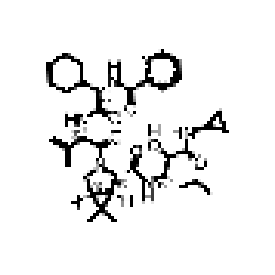 C=C(C)[C@H](NC(=O)[C@@H](NC(=O)c1ccccn1)C1CCCCC1)C(=O)N1C[C@H]2[C@@H]([C@H]1C(=O)N[C@@H](CCC)C(O)C(=O)NC1CC1)C2(C)C